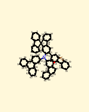 c1ccc2c(c1)-c1ccccc1C21c2ccccc2-c2cc(-c3ccc4c(c3)sc3ccccc34)c(N(c3ccc4ccc5ccccc5c4c3)c3ccc4c5ccccc5c5ccccc5c4c3)cc21